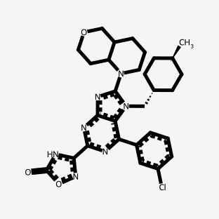 C[C@H]1CC[C@H](Cn2c(N3CCCC4COCCC43)nc3nc(-c4noc(=O)[nH]4)nc(-c4cccc(Cl)c4)c32)CC1